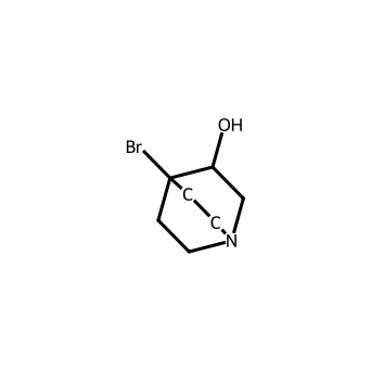 OC1CN2CCC1(Br)CC2